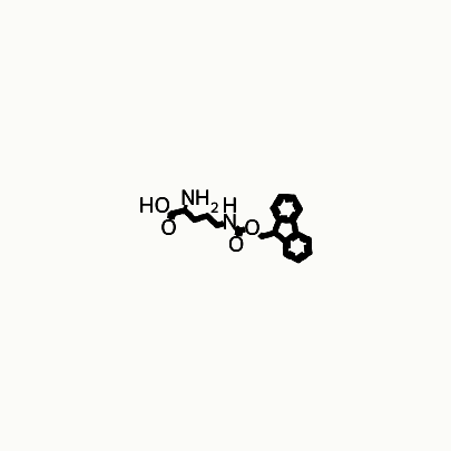 N[C@@H](CCCNC(=O)OCC1c2ccccc2-c2ccccc21)C(=O)O